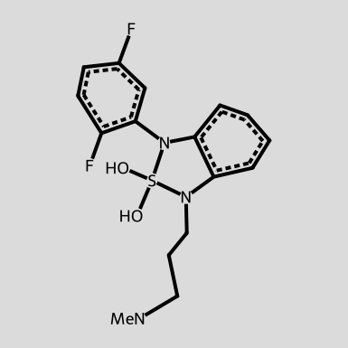 CNCCCN1c2ccccc2N(c2cc(F)ccc2F)S1(O)O